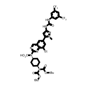 CCc1cc(-c2cc(NC(=O)Nc3cc(C(F)(F)F)cc(C(F)(F)F)c3)nn2C)cc2cnc(N(C(=O)O)[C@H]3CC[C@H](N(C(=O)OC(C)(C)C)C(=O)OC(C)(C)C)CC3)nc12